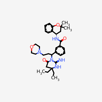 CCC1(CC)CC(=O)N(C(CCN2CCOCC2)c2cccc(C(=O)N[C@H]3CC(C)(C)Oc4ccccc43)c2)C(=N)N1